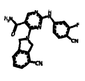 N#Cc1ccc(Nc2ncc(C(N)=O)c(N3Cc4cccc(C#N)c4C3)n2)cc1F